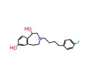 Oc1ccc2c(c1)CCN(CCCCc1ccc(F)cc1)CC2O